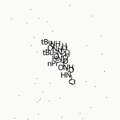 CCCC(NC(=O)[C@@H]1[C@@H]2[C@H](CN1C(=O)[C@@H](NC(=O)NC(C)(C)C)C(C)(C)C)C2(C)C)C(=O)C(=O)NCC(=O)NCc1ccccc1